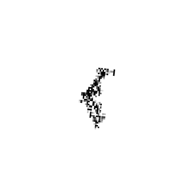 CC1c2ccc(C(=O)NCc3c(F)cc(F)cc3F)cc2N(Cc2c(F)cc(OCCCC(=O)O)cc2F)C(=O)N1C